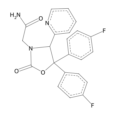 NC(=O)CN1C(=O)OC(c2ccc(F)cc2)(c2ccc(F)cc2)C1c1ccccn1